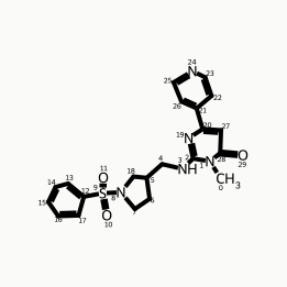 Cn1c(NCC2CCN(S(=O)(=O)c3ccccc3)C2)nc(-c2ccncc2)cc1=O